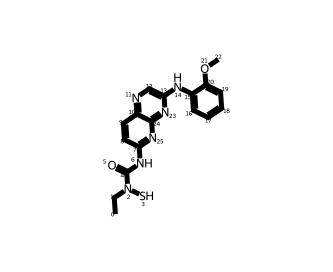 CCN(S)C(=O)Nc1ccc2ncc(Nc3ccccc3OC)nc2n1